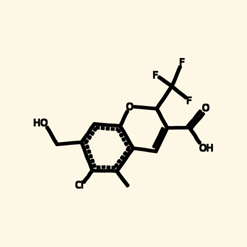 Cc1c(Cl)c(CO)cc2c1C=C(C(=O)O)C(C(F)(F)F)O2